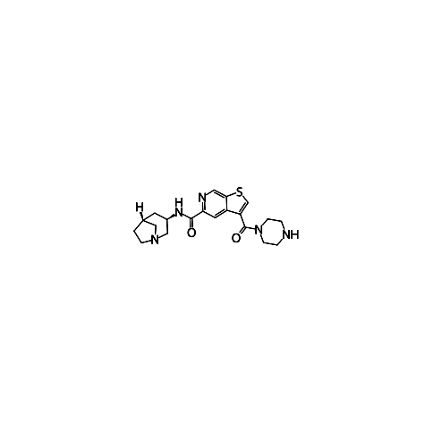 O=C(N[C@@H]1C[C@H]2CCN(C2)C1)c1cc2c(C(=O)N3CCNCC3)csc2cn1